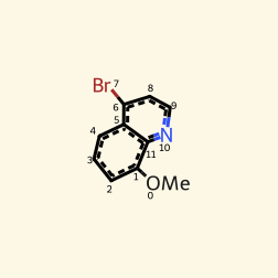 COc1cccc2c(Br)ccnc12